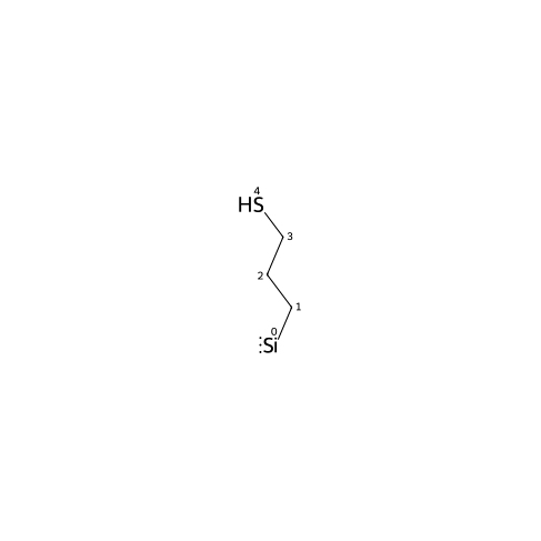 [Si]CCCS